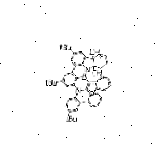 CC(C)(C)c1ccc(N2c3cc(C(C)(C)C)cc4c3B(c3c2oc2ccccc32)N2c3c-4cc(C(C)(C)C)cc3C3(C)CCCCC23C)c(-c2ccccc2)c1